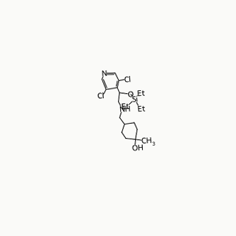 CC[Si](CC)(CC)OC(CNCC1CCC(C)(O)CC1)c1c(Cl)cncc1Cl